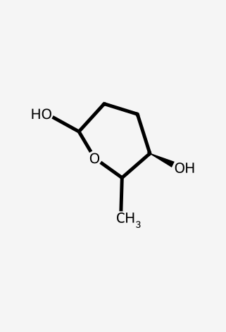 CC1OC(O)CC[C@H]1O